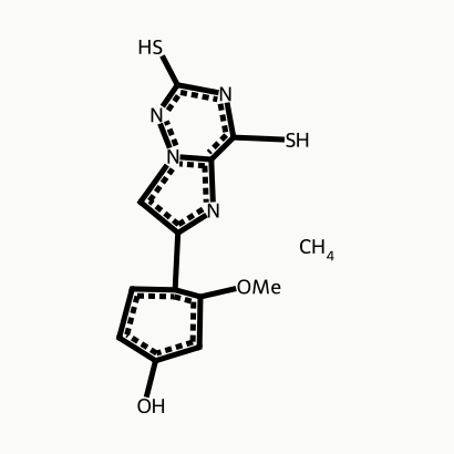 C.COc1cc(O)ccc1-c1cn2nc(S)nc(S)c2n1